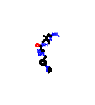 Cc1cc(N)nc(C)c1CNC(=O)c1cn(Cc2cccc(-n3cccn3)c2)nn1